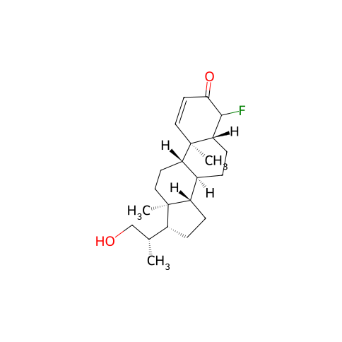 C[C@H](CO)[C@H]1CC[C@H]2[C@@H]3CC[C@H]4C(F)C(=O)C=C[C@]4(C)[C@H]3CC[C@]12C